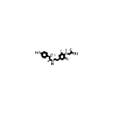 C[C@H](NCCc1cc(Cl)c(NCC(=O)O)c(Cl)c1)[C@H](O)c1ccc(O)cc1